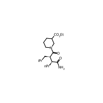 CCC[C@H](C(N)=O)[C@@H](CC(C)C)C(=O)N1CCCC(C(=O)OCC)C1